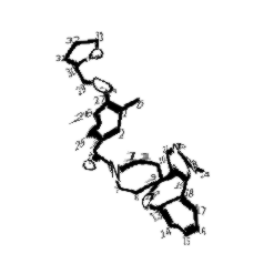 Cc1cc(C(=O)N2CCC3(CC2)Oc2ccccc2-c2c3cnn2C)ccc1OCC1CCCO1